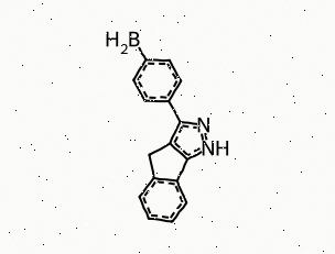 Bc1ccc(-c2n[nH]c3c2Cc2ccccc2-3)cc1